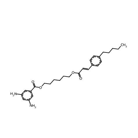 CCCCCc1ccc(C=CC(=O)OCCCCCCOC(=O)c2cc(N)cc(N)c2)cc1